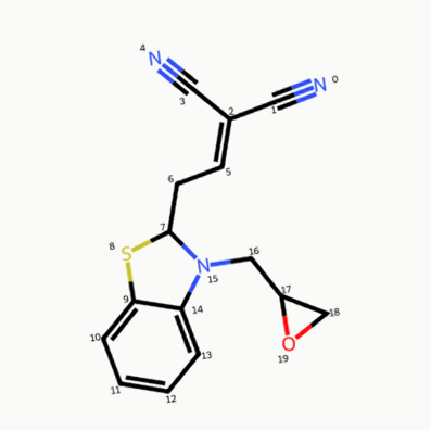 N#CC(C#N)=CCC1Sc2ccccc2N1CC1CO1